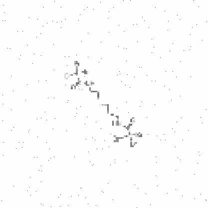 O=C(NCCCCCCNC(=O)C(Br)(Br)Br)C(Br)(Br)Br